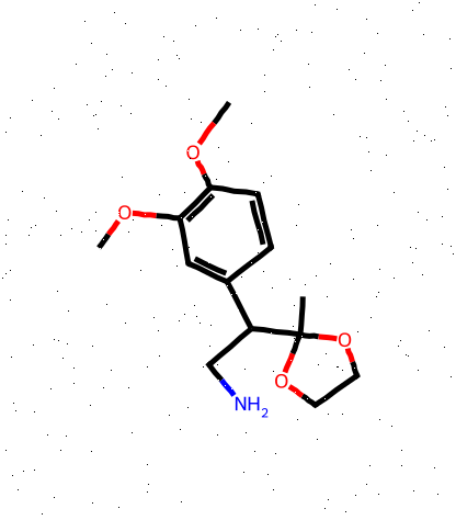 COc1ccc(C(CN)C2(C)OCCO2)cc1OC